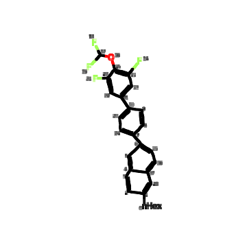 CCCCCCc1ccc2cc(-c3ccc(-c4cc(F)c(OC(F)F)c(F)c4)cc3)ccc2c1